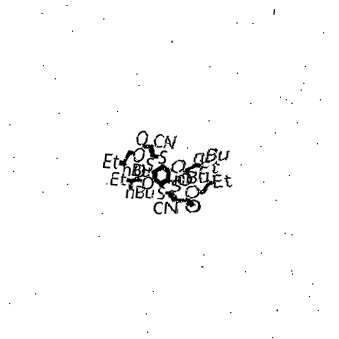 [C-]#[N+]C(C(=O)OCC(CC)CCCC)=C1Sc2c(OC(=O)C(CC)CCCC)c3c(c(OC(=O)C(CC)CCCC)c2S1)SC(=C(C#N)C(=O)OCC(CC)CCCC)S3